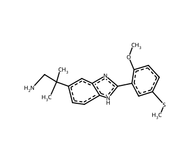 COc1ccc(SC)cc1-c1nc2cc(C(C)(C)CN)ccc2[nH]1